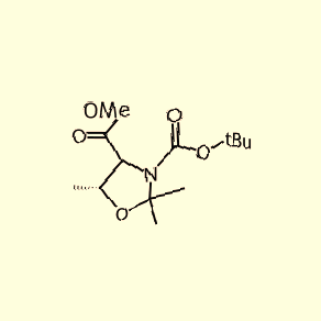 COC(=O)C1[C@@H](C)OC(C)(C)N1C(=O)OC(C)(C)C